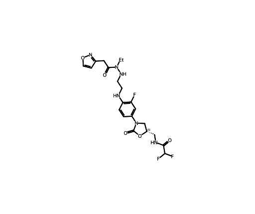 CCN(NCCNc1ccc(N2C[C@H](CNC(=O)C(F)F)OC2=O)cc1F)C(=O)Cc1ccon1